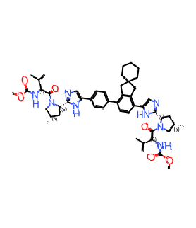 COC(=O)N[C@H](C(=O)N1C[C@@H](C)C[C@H]1c1ncc(-c2ccc(-c3ccc(-c4cnc([C@@H]5C[C@H](C)CN5C(=O)[C@@H](NC(=O)OC)C(C)C)[nH]4)c4c3CC3(CCCCC3)C4)cc2)[nH]1)C(C)C